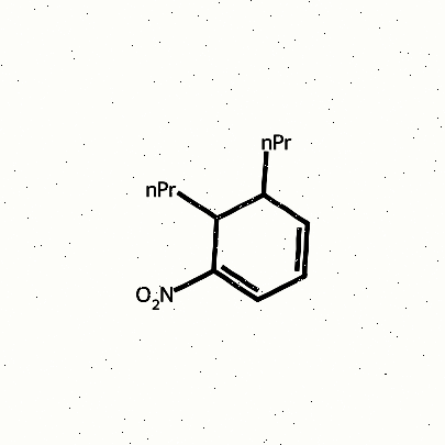 CCCC1C=CC=C([N+](=O)[O-])C1CCC